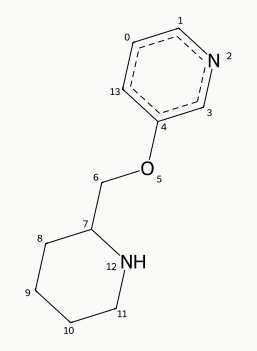 c1cncc(OCC2CCCCN2)c1